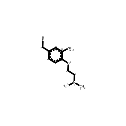 CN(C)CCOc1ccc(CF)cc1N